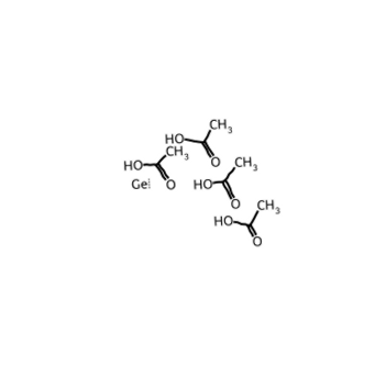 CC(=O)O.CC(=O)O.CC(=O)O.CC(=O)O.[Ge]